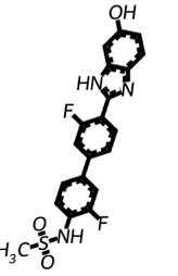 CS(=O)(=O)Nc1ccc(-c2ccc(-c3nc4ccc(O)cc4[nH]3)c(F)c2)cc1F